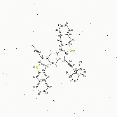 CC#CC1=c2cc3c(cc2-c2c1sc1cc4ccccc4cc21)=C(C#C[Si](C(C)C)(C(C)C)C(C)C)c1sc2cc4ccccc4cc2c1-3